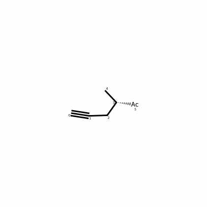 C#CC[C@H](C)C(C)=O